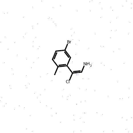 Cc1ccc(Br)cc1/C(Cl)=C\N